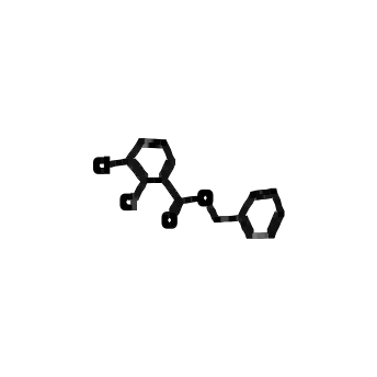 O=C(OCc1ccccc1)c1cccc(Cl)c1Cl